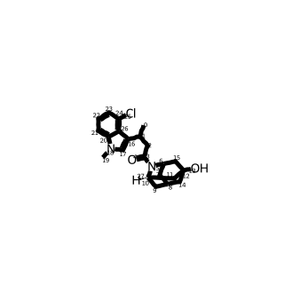 CC(CC(=O)N1C2CC3C[C@@H]1CC(O)(C3)C2)c1cn(C)c2cccc(Cl)c12